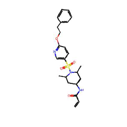 C=CC(=O)NC1CC(C)N(S(=O)(=O)c2ccc(OCCc3ccccc3)nc2)C(C)C1